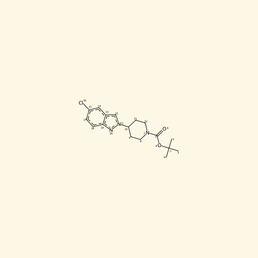 CC(C)(C)OC(=O)N1CCC(n2cc3cc(Cl)ccc3n2)CC1